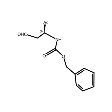 CC(=O)[C@H](CC=O)NC(=O)OCc1ccccc1